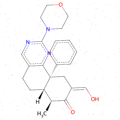 C[C@@H]1C(=O)/C(=C\O)C[C@]2(c3ccccc3)c3nc(N4CCOCC4)ncc3CC[C@@H]12